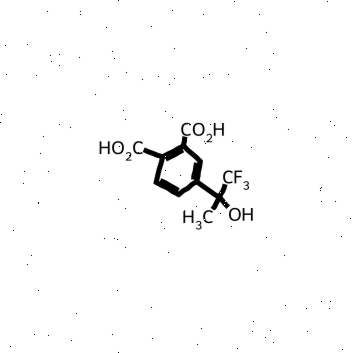 CC(O)(c1ccc(C(=O)O)c(C(=O)O)c1)C(F)(F)F